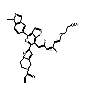 C=CC(=O)N1CCn2nc(-c3nc(-c4ccc5c(cnn5C)c4)c4ccsc4c3/C=C(F)/C=C(F)\C=C\OCCOC)cc2C1